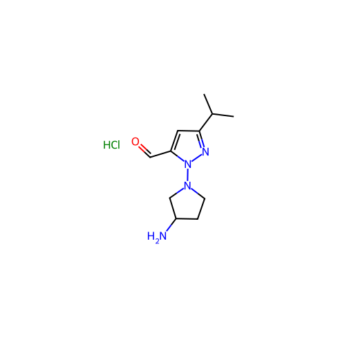 CC(C)c1cc(C=O)n(N2CCC(N)C2)n1.Cl